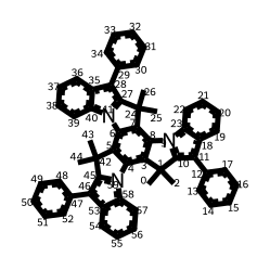 CC1(C)c2c3c(c4c(c2-n2c1c(-c1ccccc1)c1ccccc12)C(C)(C)c1c(-c2ccccc2)c2ccccc2n1-4)C(C)(C)c1c(-c2ccccc2)c2ccccc2n1-3